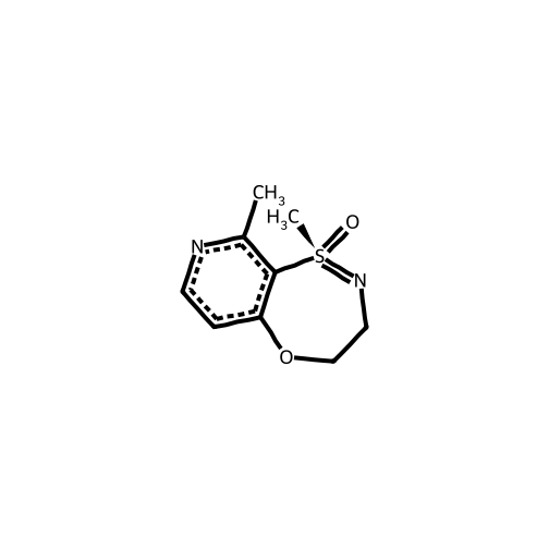 Cc1nccc2c1[S@](C)(=O)=NCCO2